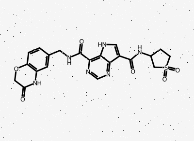 O=C1COc2ccc(CNC(=O)c3ncnc4c(C(=O)NC5CCS(=O)(=O)C5)c[nH]c34)cc2N1